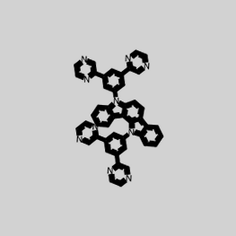 c1ccc2c(c1)c1c(ccc3c4ccccc4n(-c4cc(-c5cnccn5)cc(-c5cnccn5)c4)c31)n2-c1cc(-c2cnccn2)cc(-c2cnccn2)c1